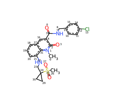 Cn1c(=O)c(C(=O)NCc2ccc(Cl)cc2)cc2cccc(NCC3(S(C)(=O)=O)CC3)c21